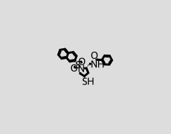 O=C(NC[C@@H]1C[C@@H](S)CN1S(=O)(=O)c1ccc2ccccc2c1)c1ccccc1